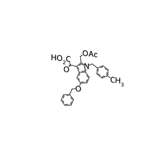 CC(=O)OCc1c(C(=O)C(=O)O)c2cc(OCc3ccccc3)ccc2n1Cc1ccc(C)cc1